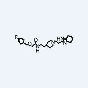 O=C(COCc1ccc(F)cc1)NCCC1CCN(CCc2nc3ccccc3[nH]2)CC1